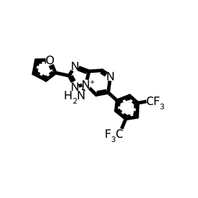 N[N+]12C=C(c3cc(C(F)(F)F)cc(C(F)(F)F)c3)N=CC1=NC(c1ccco1)=N2